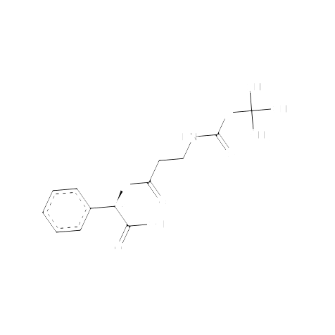 CC(C)(C)OC(=O)NCCC(=O)O[C@@H](C(=O)O)c1ccccc1